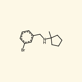 CC1(NCc2cccc(Br)c2)CCCC1